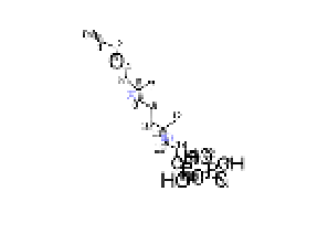 C#CCOCC/C(C)=C/CC/C(C)=C/COP(=O)(O)OP(=O)(O)O